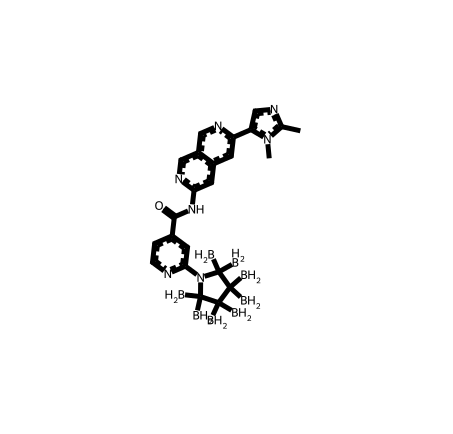 BC1(B)N(c2cc(C(=O)Nc3cc4cc(-c5cnc(C)n5C)ncc4cn3)ccn2)C(B)(B)C(B)(B)C1(B)B